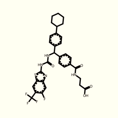 O=C(O)CCNC(=O)c1ccc(C(NC(=O)Nc2nc3cc(F)c(C(F)(F)F)cc3s2)c2ccc(C3CCCCC3)cc2)cc1